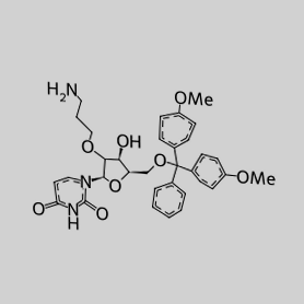 COc1ccc(C(OC[C@H]2O[C@@H](n3ccc(=O)[nH]c3=O)C(OCCCN)[C@H]2O)(c2ccccc2)c2ccc(OC)cc2)cc1